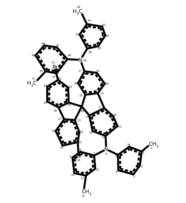 Cc1cccc(N(c2cccc(C)c2)c2ccc3c(c2)C2(c4cc(Br)ccc4-c4ccc(Br)cc42)c2cc(N(c4cccc(C)c4)c4cccc(C)c4)ccc2-3)c1